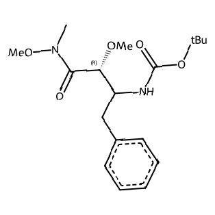 CO[C@@H](C(=O)N(C)OC)C(Cc1ccccc1)NC(=O)OC(C)(C)C